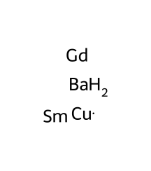 [BaH2].[Cu].[Gd].[Sm]